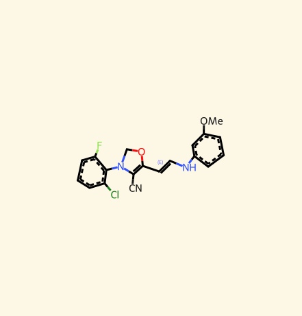 COc1cccc(N/C=C/C2=C(C#N)N(c3c(F)cccc3Cl)CO2)c1